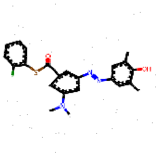 Cc1cc(/N=N/c2cc(C(=O)Sc3ccccc3F)cc(N(C)C)c2)cc(C)c1O